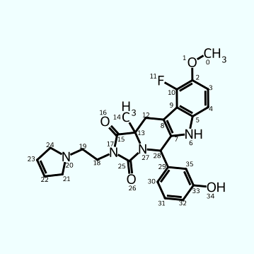 COc1ccc2[nH]c3c(c2c1F)CC1(C)C(=O)N(CCN2CC=CC2)C(=O)N1C3c1cccc(O)c1